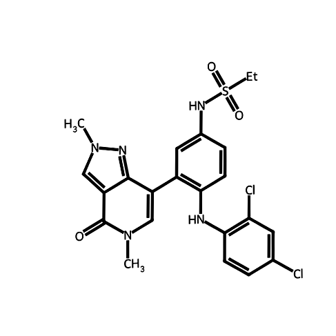 CCS(=O)(=O)Nc1ccc(Nc2ccc(Cl)cc2Cl)c(-c2cn(C)c(=O)c3cn(C)nc23)c1